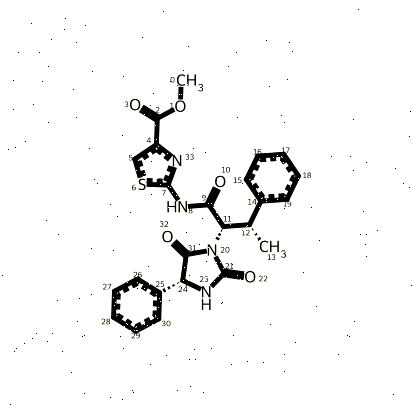 COC(=O)c1csc(NC(=O)[C@H]([C@@H](C)c2ccccc2)N2C(=O)N[C@H](c3ccccc3)C2=O)n1